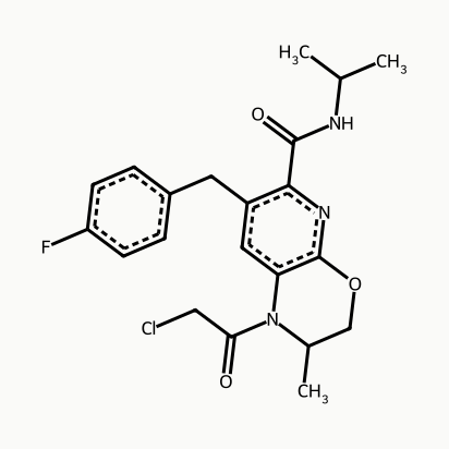 CC(C)NC(=O)c1nc2c(cc1Cc1ccc(F)cc1)N(C(=O)CCl)C(C)CO2